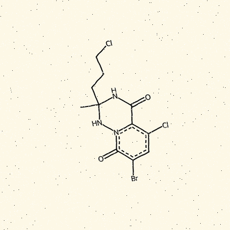 CC1(CCCCl)NC(=O)c2c(Cl)cc(Br)c(=O)n2N1